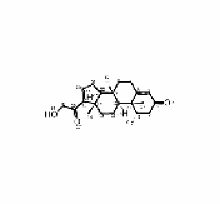 C[C@H]1CC(=O)C=C2CC[C@@H]3[C@H](CC[C@]4(C)C(C(=O)CO)=CC[C@@H]34)[C@]21C